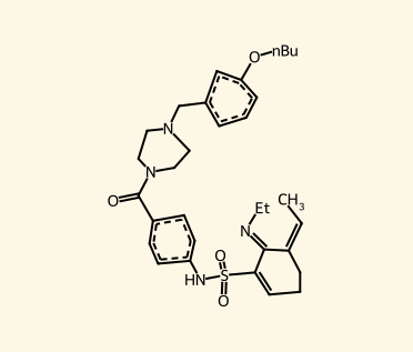 C/C=C1/CCC=C(S(=O)(=O)Nc2ccc(C(=O)N3CCN(Cc4cccc(OCCCC)c4)CC3)cc2)/C1=N/CC